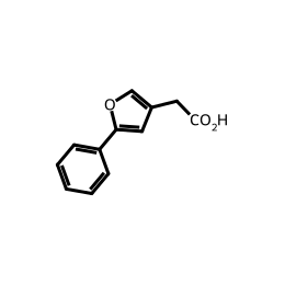 O=C(O)Cc1coc(-c2ccccc2)c1